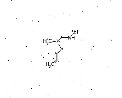 C=CCCP(C)CNCC